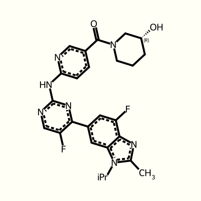 Cc1nc2c(F)cc(-c3nc(Nc4ccc(C(=O)N5CCC[C@@H](O)C5)cn4)ncc3F)cc2n1C(C)C